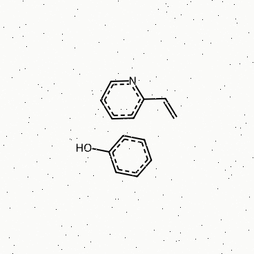 C=Cc1ccccn1.Oc1ccccc1